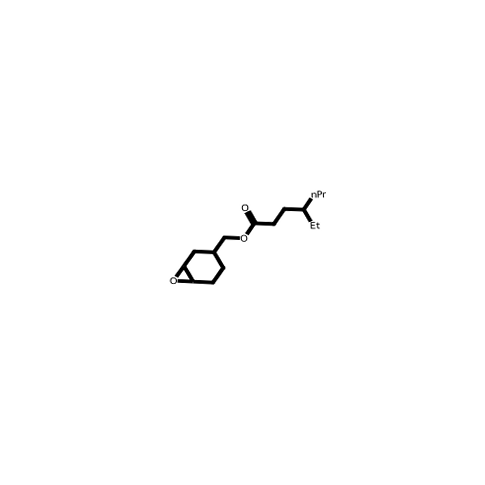 CCCC(CC)CCC(=O)OCC1CCC2OC2C1